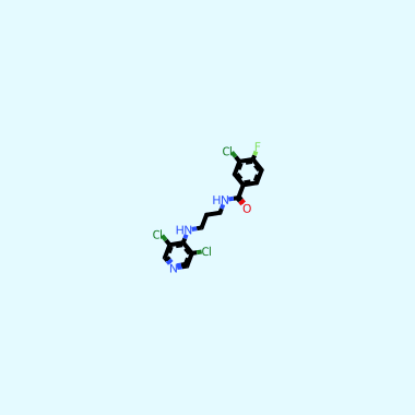 O=C(NCCCNc1c(Cl)cncc1Cl)c1ccc(F)c(Cl)c1